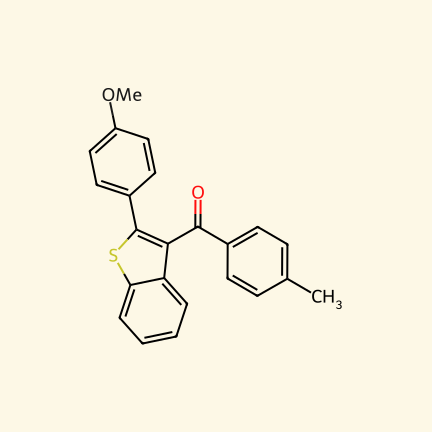 COc1ccc(-c2sc3ccccc3c2C(=O)c2ccc(C)cc2)cc1